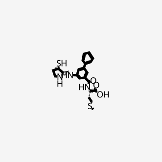 CSCC[C@H](NC(=O)c1cc(NC[C@H]2NCC[C@H]2S)cc(-c2ccccc2)c1)C(=O)O